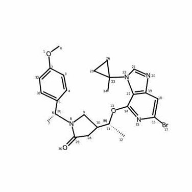 COc1ccc([C@@H](C)N2CC([C@@H](C)Oc3nc(Br)cc4ncn(C5(C)CC5)c34)CC2=O)cc1